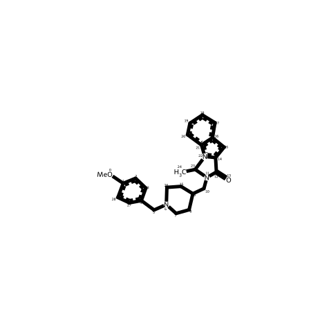 COc1ccc(CN2CCC(CN3C(=O)c4cc5ccccc5n4C3C)CC2)cc1